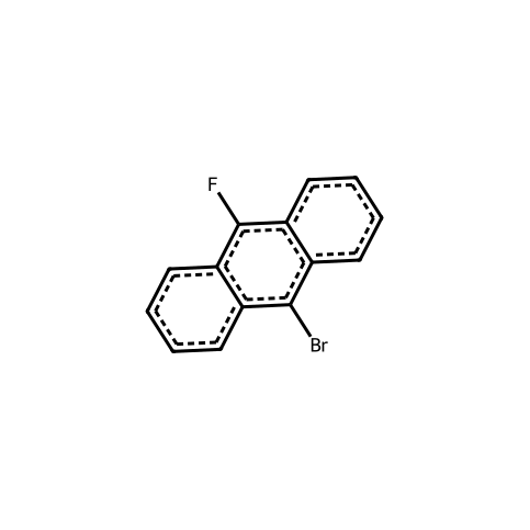 Fc1c2ccccc2c(Br)c2ccccc12